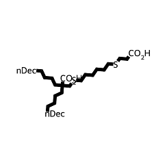 CCCCCCCCCCCCCCC(CCCCCCCCCCCCCC)(CSCCCCCCSCCC(=O)O)C(=O)O